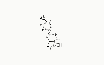 CC(=O)c1ccc(C2=CCC(C)(C)CC2)cc1